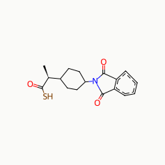 C[C@H](C(=O)S)C1CCC(N2C(=O)c3ccccc3C2=O)CC1